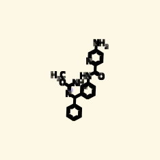 CO/C(N)=N/C(c1ccccc1)c1cccc(NC(=O)c2ccc(N)cn2)c1